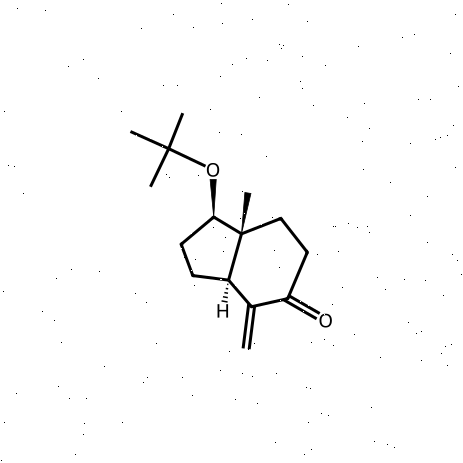 C=C1C(=O)CC[C@]2(C)[C@@H]1CC[C@H]2OC(C)(C)C